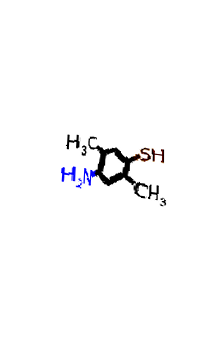 Cc1cc(S)c(C)cc1N